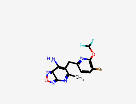 Cc1nc2nonc2c(N)c1Cc1ccc(Br)c(OC(F)F)n1